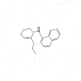 CCCC1=CCCCC1Nc1cccc2ccccc12